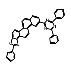 c1ccc(-c2nc(-c3ccccc3)nc(-c3ccc4ccc5c(ccc6c5ccc5oc(-c7ccccc7)nc56)c4c3)n2)cc1